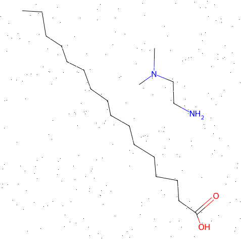 CCCCCCCCCCCCCCCC(=O)O.CN(C)CCN